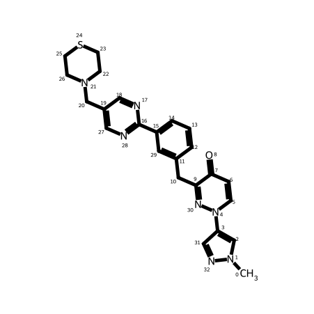 Cn1cc(-n2ccc(=O)c(Cc3cccc(-c4ncc(CN5CCSCC5)cn4)c3)n2)cn1